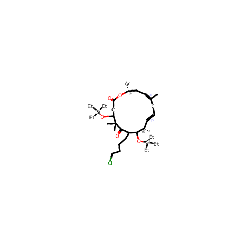 CC[Si](CC)(CC)OC1C(CCCCCl)C(=O)C(C)(C)C(O[Si](CC)(CC)CC)CC(=O)O[C@H](C(C)=O)C/C=C(/C)C/C=C/[C@@H]1C